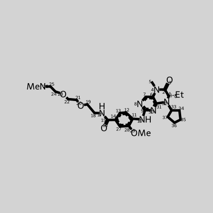 CC[C@H]1C(=O)N(C)c2cnc(Nc3ccc(C(=O)NCCOCCOCCNC)cc3OC)nc2N1C1CCCC1